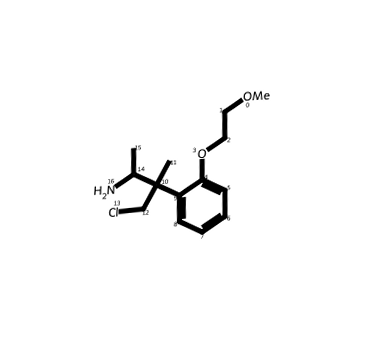 COCCOc1ccccc1C(C)(CCl)C(C)N